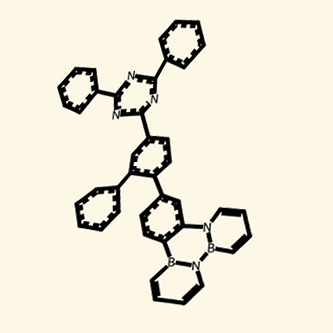 C1=CB2c3ccc(-c4ccc(-c5nc(-c6ccccc6)nc(-c6ccccc6)n5)cc4-c4ccccc4)cc3N3C=CC=CB3N2C=C1